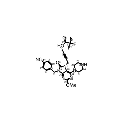 CC#CCn1c(=O)n(Cc2ccc(C#N)cc2)c2nc(OC)nc(N3CCNCC3)c21.O=C(O)C(F)(F)F